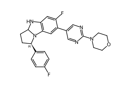 Fc1ccc([C@H]2CCC3Nc4cc(F)c(-c5cnc(N6CCOCC6)nc5)cc4N32)cc1